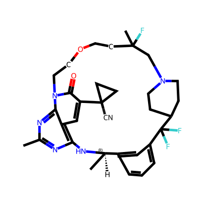 Cc1nc2c3cc(C4(C#N)CC4)c(=O)n(c3n1)CCOCCC(C)(F)CN1CCC(CC1)C(F)(F)c1cccc(c1)[C@@H](C)N2